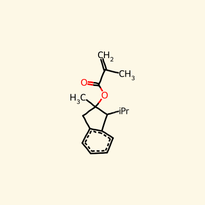 C=C(C)C(=O)OC1(C)Cc2ccccc2C1C(C)C